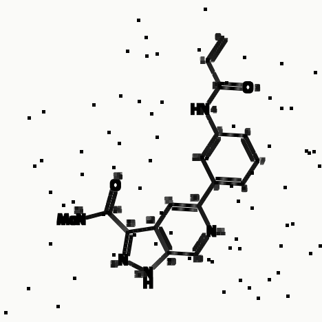 C=CC(=O)Nc1cccc(-c2cc3c(C(=O)NC)n[nH]c3cn2)c1